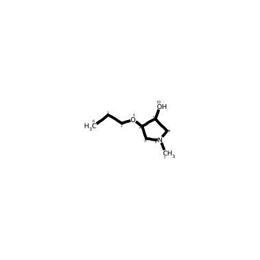 CCCOC1CN(C)CC1O